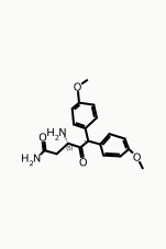 COc1ccc([C](C(=O)[C@@H](N)CC(N)=O)c2ccc(OC)cc2)cc1